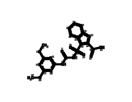 COc1nc(NC(=O)NS(=O)(=O)c2c(C(=O)O)sc3ccccc23)nc(OC)n1